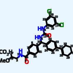 CO[C@H](CNC(=O)c1ccc(C(NC(=O)Nc2cc(Cl)cc(Cl)c2)c2ccc(C3=CCCCC3)cc2)cc1)C(=O)O